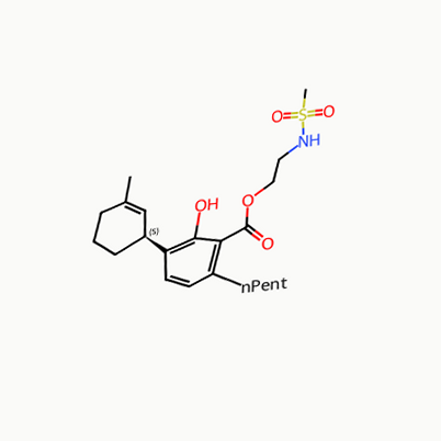 CCCCCc1ccc([C@@H]2C=C(C)CCC2)c(O)c1C(=O)OCCNS(C)(=O)=O